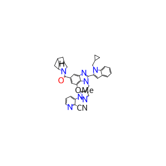 COc1cc(C(=O)N2CC3CC4CC2[C@H]43)cc2nc(-c3cc4ccccc4n3CC3CC3)n(Cc3cnn(-c4cccnc4C#N)c3)c12